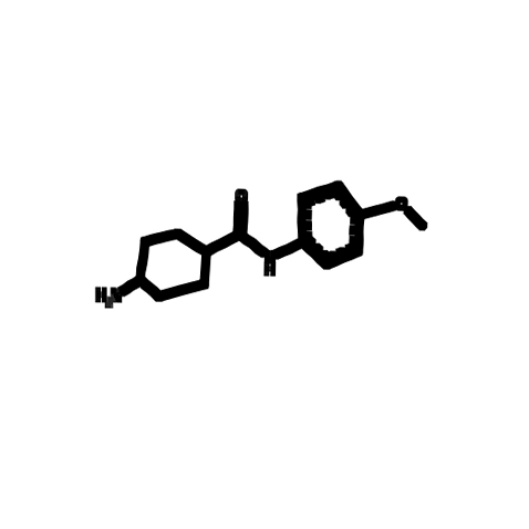 COc1ccc(NC(=O)C2CCC(N)CC2)cc1